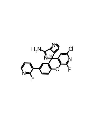 NC1=N[C@@]2(c3cc(-c4cccnc4F)ccc3Oc3c2cc(Cl)nc3F)c2cccnc21